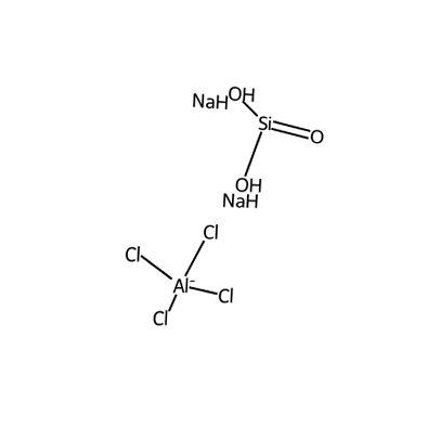 O=[Si](O)O.[Cl][Al-]([Cl])([Cl])[Cl].[NaH].[NaH]